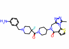 Cc1nnc2n1-c1sccc1C(=O)N(C1CCN(C(=O)C3(F)CCN(Cc4cccc(N)c4)CC3)CC1)C2